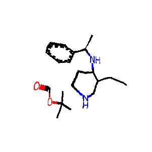 CC(C)(C)OC=O.CCC1CNCCC1N[C@H](C)c1ccccc1